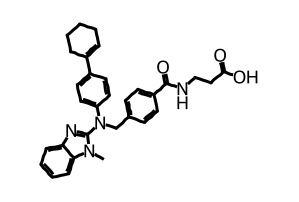 Cn1c(N(Cc2ccc(C(=O)NCCC(=O)O)cc2)c2ccc(C3=CCCCC3)cc2)nc2ccccc21